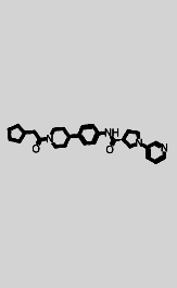 O=C(Nc1ccc(C2CCN(C(=O)CC3CCCC3)CC2)cc1)[C@H]1CCN(c2cccnc2)C1